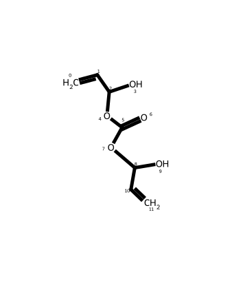 C=CC(O)OC(=O)OC(O)C=C